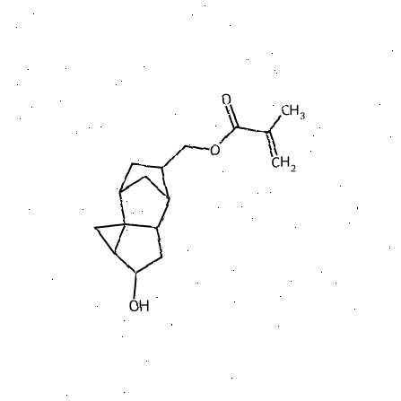 C=C(C)C(=O)OCC1CC2CC1C1CC(O)C3CC231